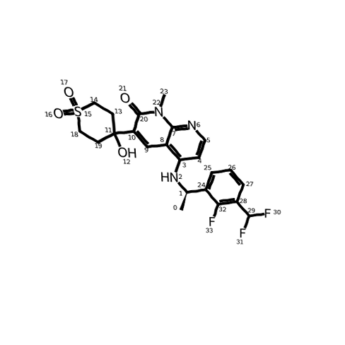 C[C@@H](Nc1ccnc2c1cc(C1(O)CCS(=O)(=O)CC1)c(=O)n2C)c1cccc(C(F)F)c1F